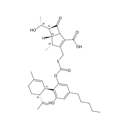 C=C(C)[C@@H]1CCC(C)=C[C@H]1c1c(O)cc(CCCCC)cc1OC(=O)SCC1=C(C(=O)O)C2C(=O)[C@H]([C@@H](C)O)[C@H]2[C@H]1C